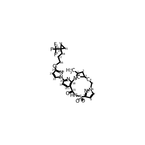 CC1CC2CCn3ccc(n3)S(=O)(=O)NC(=O)c3ccc(-n4ccc(OCCCC5(C(F)(F)F)CC5)n4)nc3N1C2